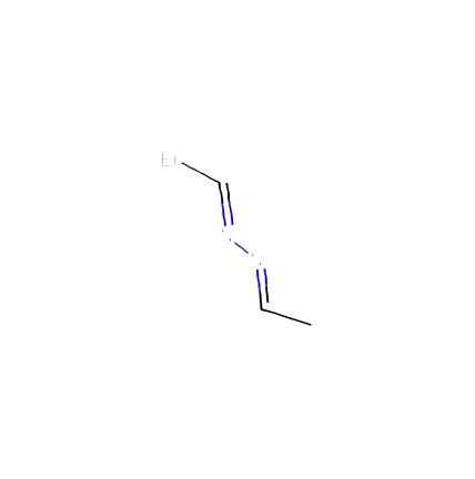 C/C=N/N=C/CC